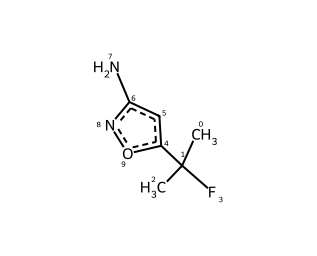 CC(C)(F)c1cc(N)no1